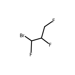 FCC(F)C(F)Br